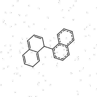 [C]1C=CC2=CC=CC(c3cccc4ccccc34)C2=C1